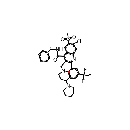 C[C@H](NC(=O)c1c(CN2CCC(N3CCCCC3)CC2)c(-c2cccc(C(F)(F)F)c2)nc2cc(Cl)c(S(C)(=O)=O)cc12)c1ccccc1